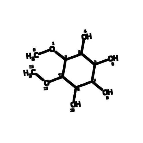 COC1C(O)C(O)C(O)C(O)C1OC